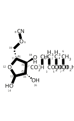 CC(=O)O.CC(=O)O.CC(=O)O.CC(=O)O.N#COC[C@H]1OC(O)[C@@H](O)[C@@H]1O